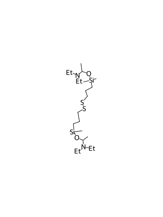 CCN(CC)C(C)O[Si](C)(C)CCCSSCCC[Si](C)(C)OC(C)N(CC)CC